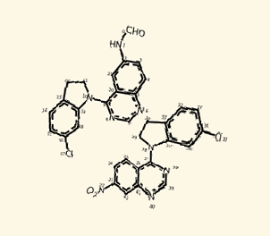 O=CNc1ccc2ncnc(N3CCc4ccc(Cl)cc43)c2c1.O=[N+]([O-])c1ccc2c(N3CCc4ccc(Cl)cc43)ncnc2c1